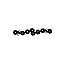 c1ccc2c(c1)sc1c3ccc(-c4ccc(-c5cccc6c(-c7ccc(-c8ccc9c(c8)sc8c%10ccccc%10sc98)cc7)cccc56)cc4)cc3sc21